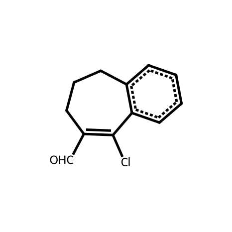 O=CC1=C(Cl)c2ccccc2CCC1